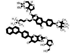 CC1(C)OB(c2ccc(-c3cc4nc(O[C@@H]5CO[C@@H]6CO[Si](C(C)(C)C)(C(C)(C)C)O[C@H]65)n(COCC[Si](C)(C)C)c4cc3Cl)cc2)OC1(C)C.OC[C@H]1OC[C@@H](Oc2nc3nc(-c4ccc(-c5ccc6ccccc6c5)cc4)c(Cl)cc3[nH]2)[C@@H]1O